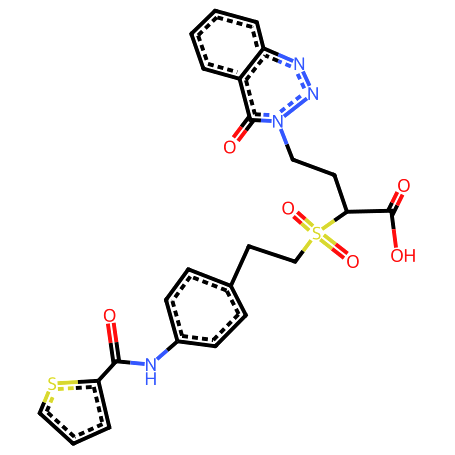 O=C(Nc1ccc(CCS(=O)(=O)C(CCn2nnc3ccccc3c2=O)C(=O)O)cc1)c1cccs1